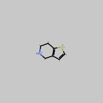 C1=CC2=C(CCNC2)[SH]1